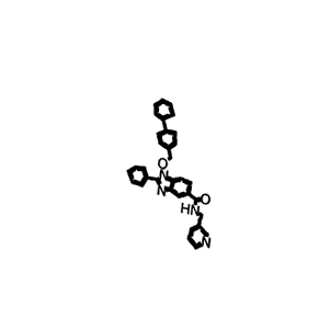 O=C(NCc1cccnc1)c1ccc2c(c1)nc(-c1ccccc1)n2OCc1ccc(-c2ccccc2)cc1